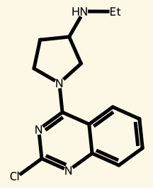 CCNC1CCN(c2nc(Cl)nc3ccccc23)C1